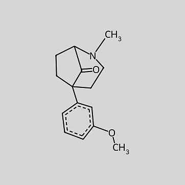 COc1cccc(C23CCC(C2=O)N(C)CC3)c1